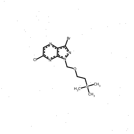 C[Si](C)(C)CCOCn1nc(Br)c2ncc(Cl)nc21